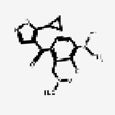 C[S+]([O-])Cc1c(C(=O)c2cnoc2C2CC2)ccc([S+](C)[O-])c1Cl